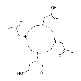 O=C(O)CN1CCN(CC(=O)O)CCN(C(CO)CCO)CCN(CC(=O)O)CC1